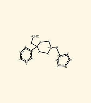 O=CCC1(c2cccnc2)CCN(Cc2ccccc2)CC1